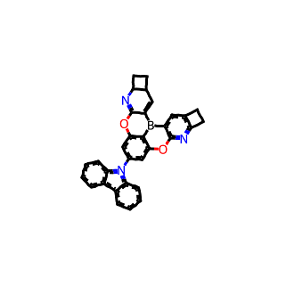 C1=C2B3c4cc5c(nc4Oc4cc(-n6c7ccccc7c7ccccc76)cc(c43)OC2=NC2CCC12)CC5